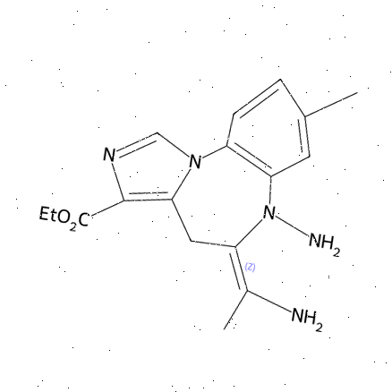 CCOC(=O)c1ncn2c1C/C(=C(\C)N)N(N)c1cc(C)ccc1-2